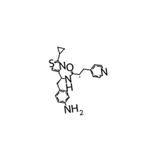 Nc1ccc(C[C@H](NC(=O)[CH]Cc2ccncc2)c2csc(C3CC3)n2)cc1